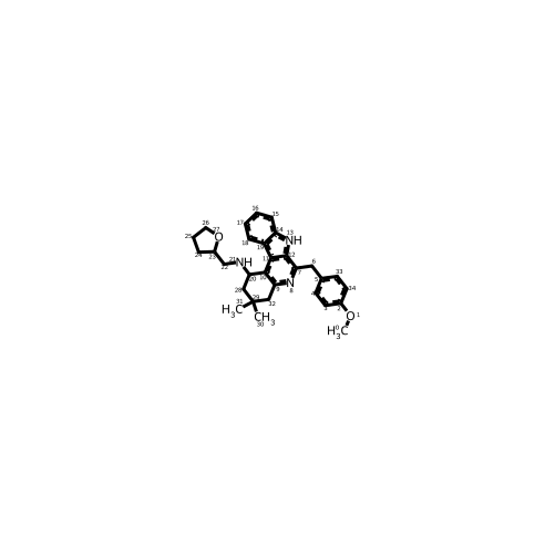 COc1ccc(Cc2nc3c(c4c2[nH]c2ccccc24)C(NCC2CCCO2)CC(C)(C)C3)cc1